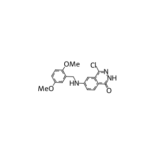 COc1ccc(OC)c(CNc2ccc3c(=O)[nH]nc(Cl)c3c2)c1